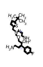 CC(C)(C)c1ccc(CN(COC[C@H](O)/C(=C\CN)c2ccc(F)cc2)/N=C\CN)s1